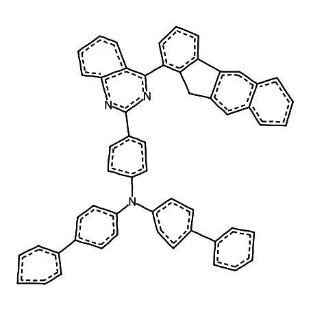 c1ccc(-c2ccc(N(c3ccc(-c4ccccc4)cc3)c3ccc(-c4nc(-c5cccc6c5Cc5cc7ccccc7cc5-6)c5ccccc5n4)cc3)cc2)cc1